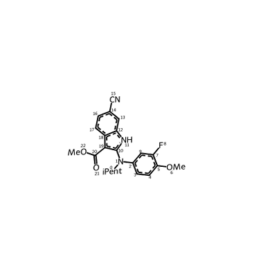 CCCC(C)N(c1ccc(OC)c(F)c1)c1[nH]c2cc(C#N)ccc2c1C(=O)OC